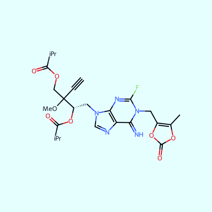 C#CC(COC(=O)C(C)C)(OC)[C@H](Cn1cnc2c(=N)n(Cc3oc(=O)oc3C)c(F)nc21)OC(=O)C(C)C